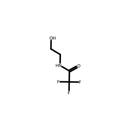 O=C(NCCO)C(F)(F)F